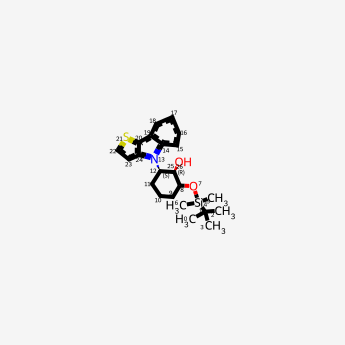 CC(C)(C)[Si](C)(C)OC1CCC[C@H](n2c3ccccc3c3sccc32)[C@H]1O